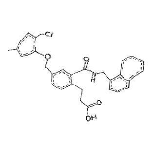 Cc1ccc(Cl)c(OCc2ccc(CCC(=O)O)c(C(=O)NCc3cccc4ccccc34)c2)c1